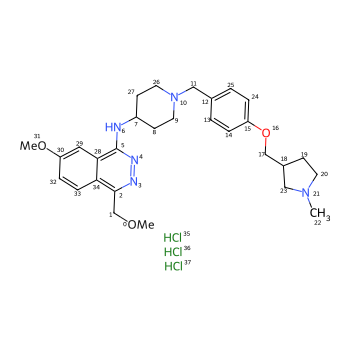 COCc1nnc(NC2CCN(Cc3ccc(OCC4CCN(C)C4)cc3)CC2)c2cc(OC)ccc12.Cl.Cl.Cl